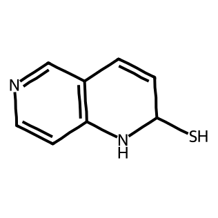 SC1C=Cc2cnccc2N1